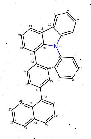 c1ccc(-n2c3ccccc3c3cccc(-c4ccc(-c5cccc6ccccc56)cc4)c32)cc1